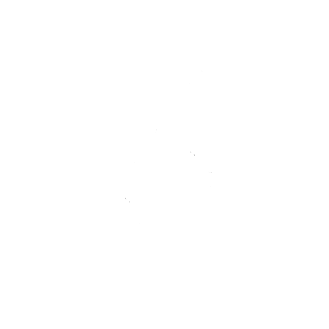 CC(=O)Nc1sc2c(ccc(=O)n2-c2ccccc2)c1C(=O)c1ccc(F)c(C)c1